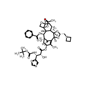 C=C1C2=C(C)[C@@H](OC(=O)[C@H](O)[C@@H](NC(=O)OC(C)(C)C)c3cnco3)C[C@@]1(O)[C@@H](OC(=O)c1ccccc1)[C@H]1[C@@](C)(CC[C@H]3OC[C@]31OC(C)=O)[C@@H]1O[C@H](CN3CCC3)O[C@H]21